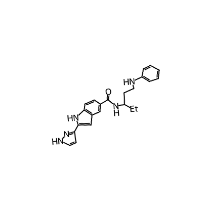 CCC(CCNc1ccccc1)NC(=O)c1ccc2[nH]c(-c3cc[nH]n3)cc2c1